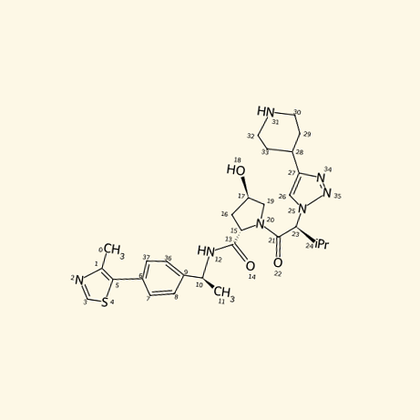 Cc1ncsc1-c1ccc([C@H](C)NC(=O)[C@@H]2C[C@@H](O)CN2C(=O)[C@H](C(C)C)n2cc(C3CCNCC3)nn2)cc1